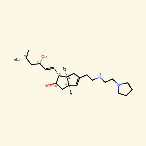 CCCC[C@H](C)C[C@H](O)/C=C/[C@@H]1[C@H]2CC(CCNCCN3CCCC3)=C[C@H]2C[C@H]1O